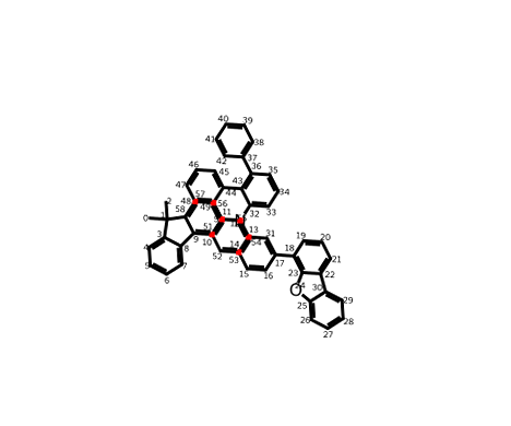 CC1(C)c2ccccc2-c2cc(N(c3cccc(-c4cccc5c4oc4ccccc45)c3)c3cccc(-c4ccccc4)c3-c3ccccc3-c3ccccc3)ccc21